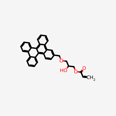 C=CC(=O)OCC(O)COCc1ccc2c(c1)c1ccccc1c1c3ccccc3c3ccccc3c21